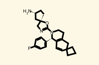 N[C@@H]1CC[C@]2(CN=C(N3CCC4=C(C=CC5(CCC5)C4)[C@@H]3c3ccc(F)cc3)O2)C1